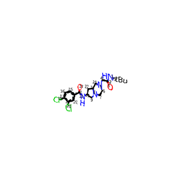 CC(C)(C)NC(=O)CN1CCN2CC(NC(=O)c3ccc(Cl)c(Cl)c3)CC2C1